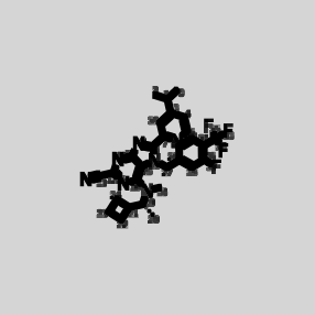 CC(C)c1ccnc(-c2nc3nc(C#N)nc(N(C)[C@H](C)C4CCC4)c3n2Cc2ccc(C(F)(F)F)c(F)c2)c1